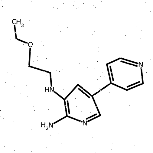 CCOCCNc1cc(-c2ccncc2)cnc1N